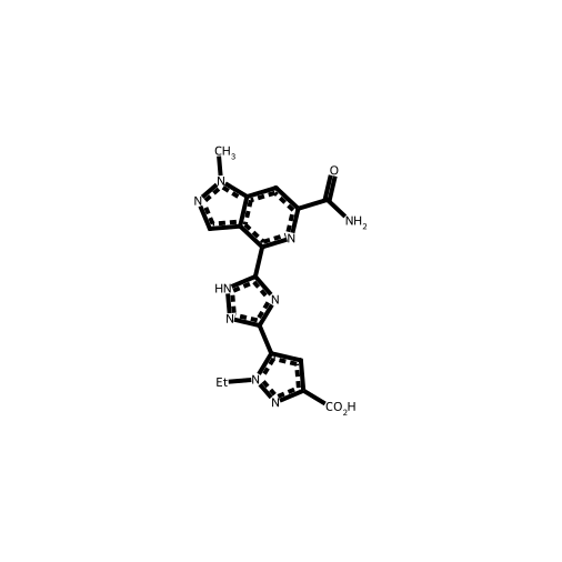 CCn1nc(C(=O)O)cc1-c1n[nH]c(-c2nc(C(N)=O)cc3c2cnn3C)n1